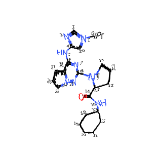 CC(C)n1cnc(Nc2nc(N3CCCC3C(=O)NC3CCCCC3)nn3cccc23)c1